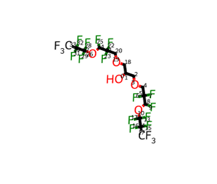 OC(COCC(F)(F)C(F)OC(F)(F)C(F)(F)C(F)(F)F)COCC(F)(F)C(F)OC(F)(F)C(F)(F)C(F)(F)F